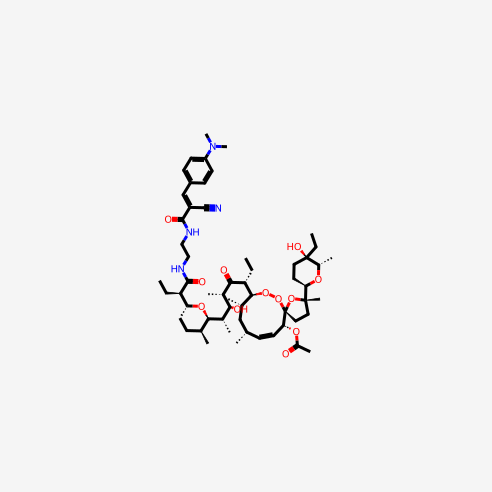 CC[C@@H](C(=O)[C@@H](C)[C@@H](O)[C@H](C)[C@@H]1O[C@@H]([C@@H](CC)C(=O)NCCNC(=O)/C(C#N)=C/c2ccc(N(C)C)cc2)CC[C@@H]1C)[C@H]1OO[C@@]2(CC[C@@](C)([C@H]3CC[C@](O)(CC)[C@H](C)O3)O2)[C@H](OC(C)=O)/C=C\[C@H](C)C[C@@H]1C